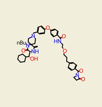 C=C1N[C@@H]([C@H](O)C2CCCCC2)C(=O)N(CCCC)C12CCN(Cc1ccc(Oc3ccc(C(=O)NCCOCCCc4ccc(C(=O)N5CCC5=O)cc4)cc3)cc1)CC2